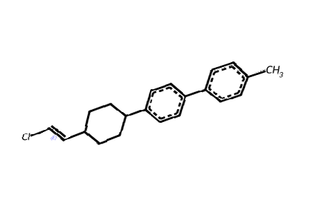 Cc1ccc(-c2ccc(C3CCC(/C=C/Cl)CC3)cc2)cc1